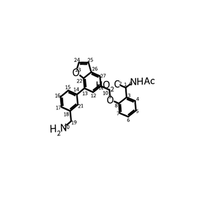 CC(=O)NC(C(=O)O)c1ccccc1OCc1cc(-c2cccc(CN)c2)c2occc2c1